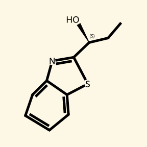 CC[C@H](O)c1nc2ccccc2s1